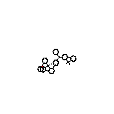 CC1(C)c2ccccc2-c2ccc(N(c3ccccc3)c3ccc(-c4cccc5c4C(O)(c4ccccc4-c4ccccc4)c4ccccc4-5)cc3)cc21